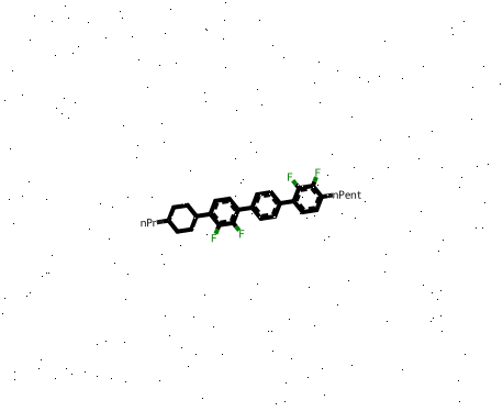 CCCCCc1ccc(-c2ccc(-c3ccc(C4CCC(CCC)CC4)c(F)c3F)cc2)c(F)c1F